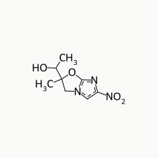 CC(O)C1(C)Cn2cc([N+](=O)[O-])nc2O1